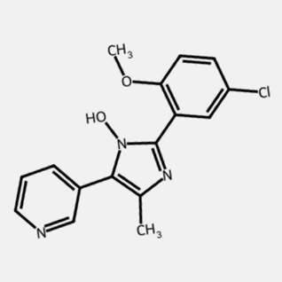 COc1ccc(Cl)cc1-c1nc(C)c(-c2cccnc2)n1O